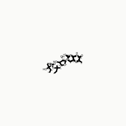 CCC(C)(C[C@H]1O[C@@H](n2cc3nc(C)c(=O)[nH]c3nc2=S)[C@@H](O)C1O)OP(=O)(O)C(C)(O)CC